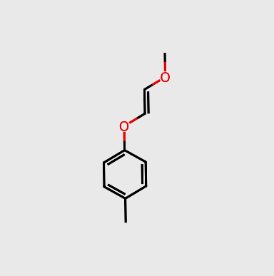 CO/C=C/Oc1ccc(C)cc1